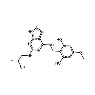 COc1cc(O)c(CNc2nc(NCC(C)O)nc3[nH]nnc23)c(O)c1